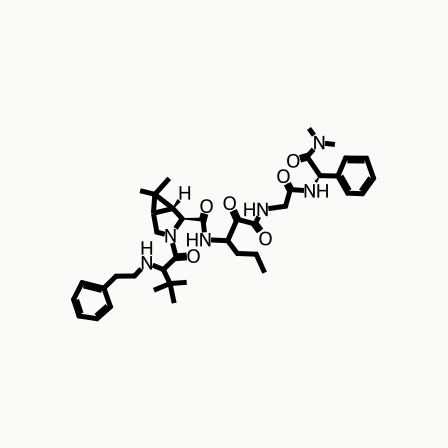 CCCC(NC(=O)[C@@H]1[C@@H]2C(CN1C(=O)C(NCCc1ccccc1)C(C)(C)C)C2(C)C)C(=O)C(=O)NCC(=O)N[C@H](C(=O)N(C)C)c1ccccc1